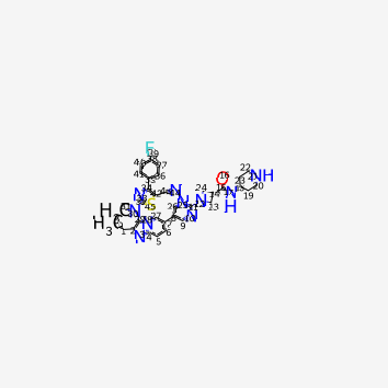 CCc1nc2ccc(-c3cnc(N4CC(C(=O)NC5CCNCC5)C4)nc3)cn2c1N(C)c1nc(-c2ccc(F)cc2)c(C#N)s1